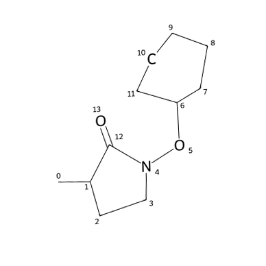 CC1CCN(OC2CCCCC2)C1=O